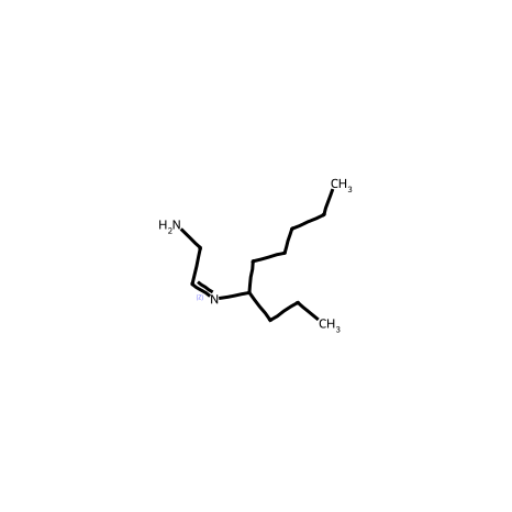 CCCCCC(CCC)/N=C\CN